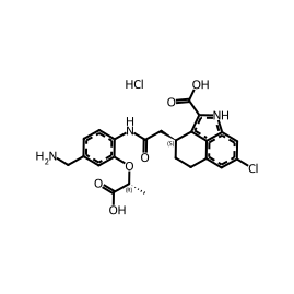 C[C@@H](Oc1cc(CN)ccc1NC(=O)C[C@@H]1CCc2cc(Cl)cc3[nH]c(C(=O)O)c1c23)C(=O)O.Cl